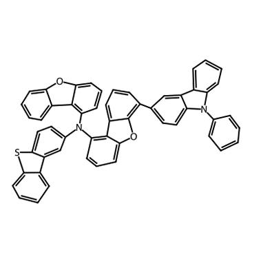 c1ccc(-n2c3ccccc3c3cc(-c4cccc5c4oc4cccc(N(c6ccc7sc8ccccc8c7c6)c6cccc7oc8ccccc8c67)c45)ccc32)cc1